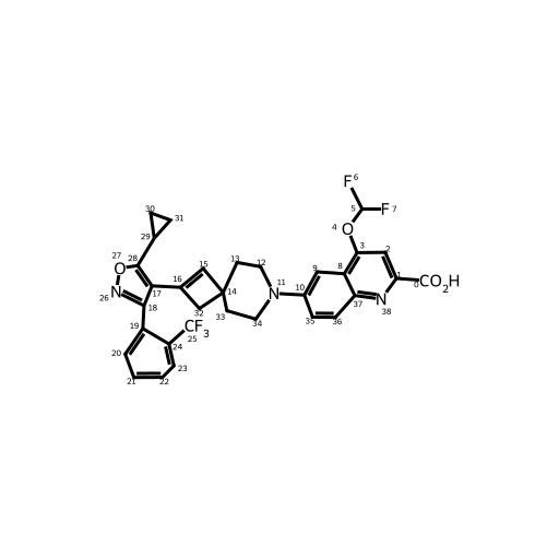 O=C(O)c1cc(OC(F)F)c2cc(N3CCC4(C=C(c5c(-c6ccccc6C(F)(F)F)noc5C5CC5)C4)CC3)ccc2n1